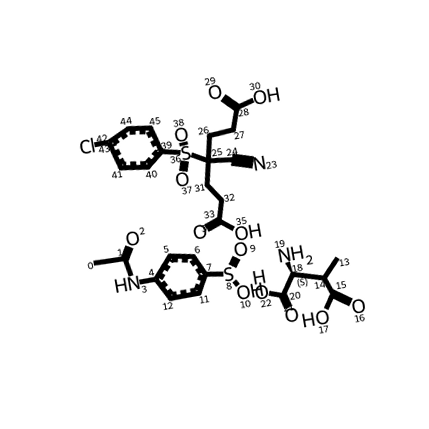 CC(=O)Nc1ccc(S(=O)O)cc1.CC(C(=O)O)[C@H](N)C(=O)O.N#CC(CCC(=O)O)(CCC(=O)O)S(=O)(=O)c1ccc(Cl)cc1